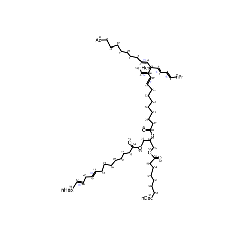 CCC/C=C/C=C/C(/C=C/CCCCCCCC(C)=O)C(=C\CCCCCC)/C=C/CCCCCCCC(=O)OC(COC(=O)CCCCCCC/C=C/C/C=C/CCCCCC)COC(=O)CCCCCCCCCCCCCCCC